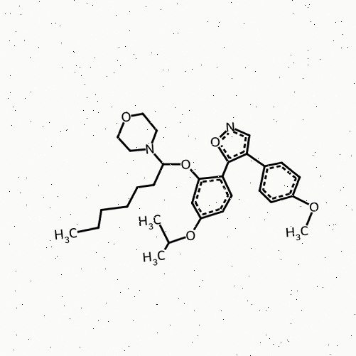 CCCCCCC(Oc1cc(OC(C)C)ccc1-c1oncc1-c1ccc(OC)cc1)N1CCOCC1